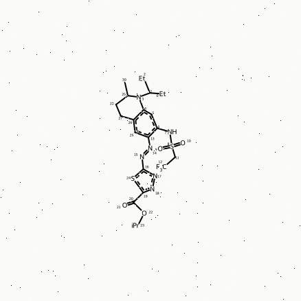 CCC(CC)N1c2cc(NS(=O)(=O)CC(F)(F)F)c(N=Nc3nnc(C(=O)OC(C)C)s3)cc2CCC1C